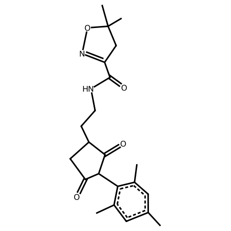 Cc1cc(C)c(C2C(=O)CC(CCNC(=O)C3=NOC(C)(C)C3)C2=O)c(C)c1